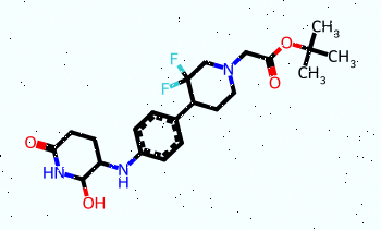 CC(C)(C)OC(=O)CN1CCC(c2ccc(NC3CCC(=O)NC3O)cc2)C(F)(F)C1